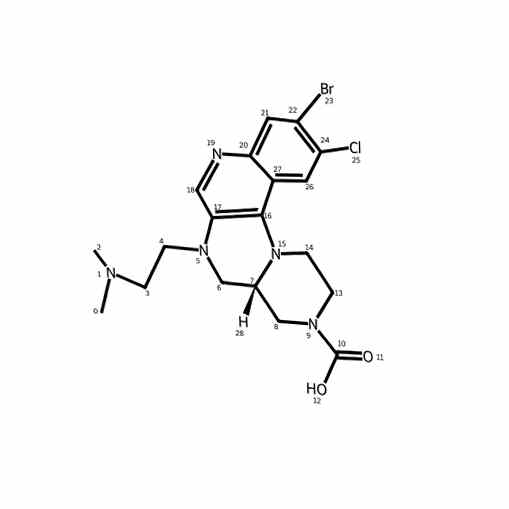 CN(C)CCN1C[C@H]2CN(C(=O)O)CCN2c2c1cnc1cc(Br)c(Cl)cc21